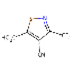 N#Cc1c(C(F)(F)F)nsc1C(=O)O